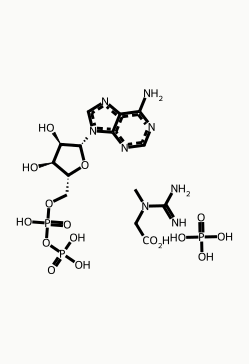 CN(CC(=O)O)C(=N)N.Nc1ncnc2c1ncn2[C@@H]1O[C@H](COP(=O)(O)OP(=O)(O)O)[C@@H](O)[C@H]1O.O=P(O)(O)O